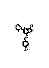 COc1ccc(COc2cc(N3CCOCC3C)nc3c(Cl)nsc23)cc1